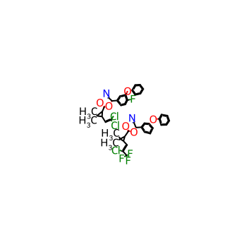 CC1(C)C(/C=C(\Cl)C(F)(F)F)C1C(=O)OC(C#N)c1cccc(Oc2ccccc2)c1.CC1(C)C(C=C(Cl)Cl)C1C(=O)OC(C#N)c1ccc(F)c(Oc2ccccc2)c1